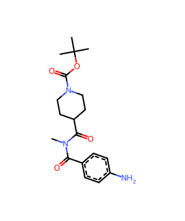 CN(C(=O)c1ccc(N)cc1)C(=O)C1CCN(C(=O)OC(C)(C)C)CC1